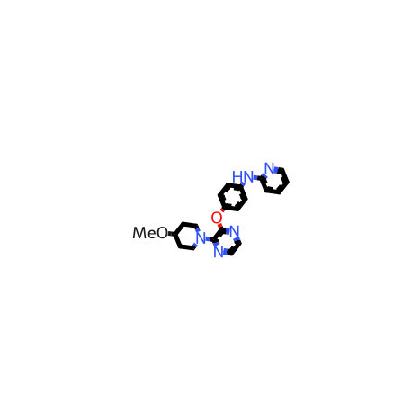 COC1CCN(c2nccnc2Oc2ccc(Nc3ccccn3)cc2)CC1